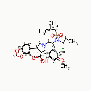 CCCN(CCN1CC(c2ccc3c(c2)OCO3)[C@H](C(=O)O)[C@H]1c1ccc(OC)c(F)c1)S(=O)(=O)CC(C)C